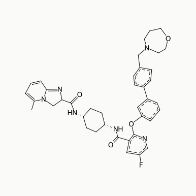 CC1=CC=CC2=NC(C(=O)N[C@H]3CC[C@@H](NC(=O)c4cc(F)cnc4Oc4cccc(-c5ccc(CN6CCCOCC6)cc5)c4)CC3)CN12